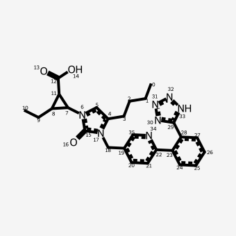 CCCCc1cn(C2C(CC)C2C(=O)O)c(=O)n1Cc1ccc(-c2ccccc2-c2nnn[nH]2)nc1